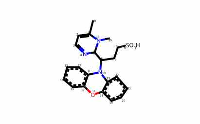 CC1=CC=NC(C(CCS(=O)(=O)O)N2c3ccccc3Oc3ccccc32)N1C